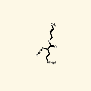 C/C=C/COC(=O)C(CCCCCCCCC)N=C=O